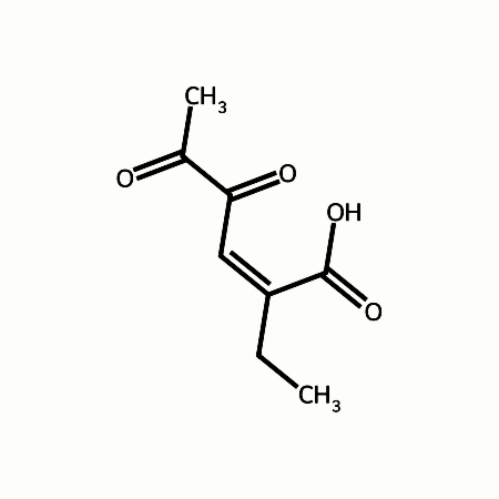 CCC(=CC(=O)C(C)=O)C(=O)O